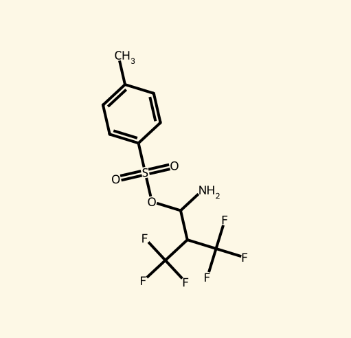 Cc1ccc(S(=O)(=O)OC(N)C(C(F)(F)F)C(F)(F)F)cc1